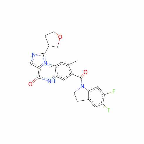 Cc1cc2c(cc1C(=O)N1CCc3cc(F)c(F)cc31)[nH]c(=O)c1cnc(C3CCOC3)n12